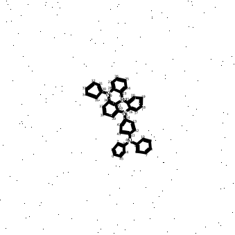 c1ccc(N(c2ccccc2)c2ccc(N3c4ccccc4B4c5ccccc5N(c5ccccc5)c5cccc3c54)cc2)cc1